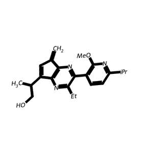 C=C1C=C(C(C)CO)c2nc(CC)c(-c3ccc(C(C)C)nc3OC)nc21